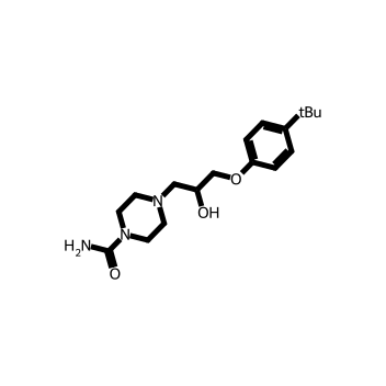 CC(C)(C)c1ccc(OCC(O)CN2CCN(C(N)=O)CC2)cc1